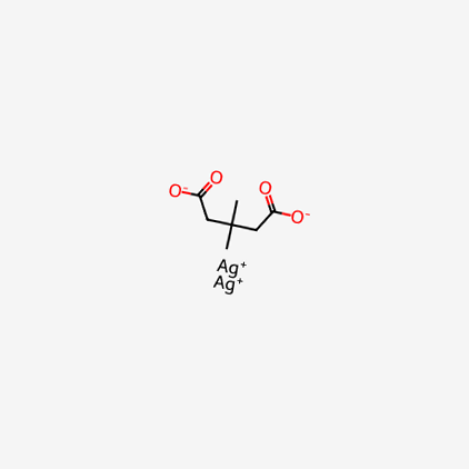 CC(C)(CC(=O)[O-])CC(=O)[O-].[Ag+].[Ag+]